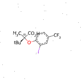 CC(C)(C)[C@](C)(Oc1ccc(C(F)(F)F)cc1I)C(=O)O